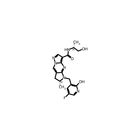 C[C@H](CO)NC(=O)c1cnn2cc3c(nc12)N(Cc1cc(F)cnc1O)[C@H](C)C3